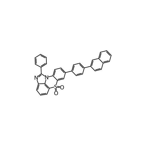 O=S1(=O)c2cc(-c3ccc(-c4ccc5ccccc5c4)cc3)ccc2-n2c(-c3ccccc3)nc3cccc1c32